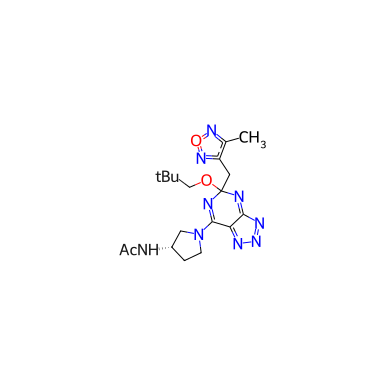 CC(=O)N[C@H]1CCN(C2=NC(Cc3nonc3C)(OCC(C)(C)C)N=C3N=NN=C32)C1